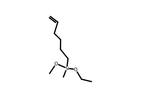 C=CCCCC[Si](C)(OC)OCC